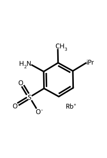 Cc1c(C(C)C)ccc(S(=O)(=O)[O-])c1N.[Rb+]